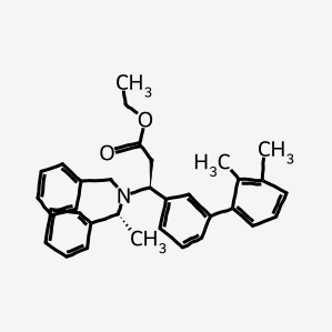 CCOC(=O)C[C@@H](c1cccc(-c2cccc(C)c2C)c1)N(Cc1ccccc1)[C@H](C)c1ccccc1